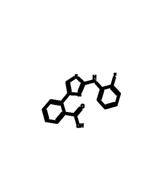 O=C(O)c1ccccc1-c1csc(Nc2ccccc2F)n1